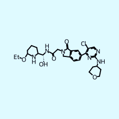 CCOC1CCCC([C@@H](CO)NC(=O)CN2Cc3ccc(-c4nc(NC5CCOCC5)ncc4Cl)cc3C2=O)N1